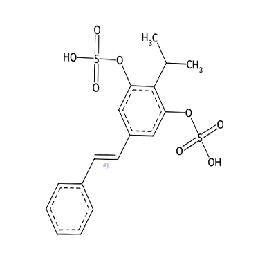 CC(C)c1c(OS(=O)(=O)O)cc(/C=C/c2ccccc2)cc1OS(=O)(=O)O